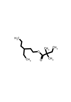 CCCC(CC)CCOC(=O)C(C)(C)CC